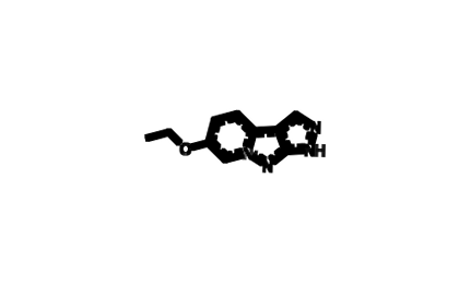 CCOc1ccc2c3cn[nH]c3nn2c1